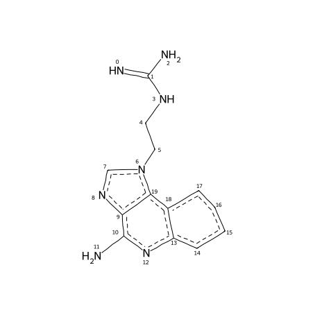 N=C(N)NCCn1cnc2c(N)nc3ccccc3c21